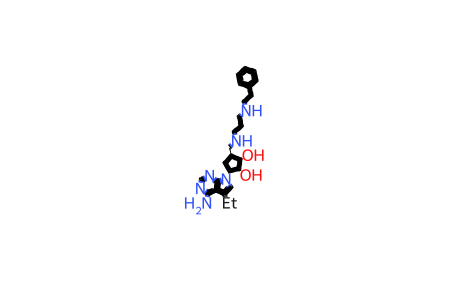 CCc1cn([C@@H]2C[C@H](CNCCCNCCc3ccccc3)[C@@H](O)[C@H]2O)c2ncnc(N)c12